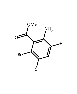 COC(=O)c1c(N)c(F)cc(Cl)c1Br